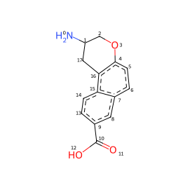 NC1COc2ccc3cc(C(=O)O)ccc3c2C1